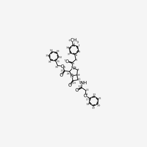 Cc1ccc(CC(=O)N2CC3[C@H](NC(=O)COc4ccccc4)C(=O)N3C2C(=O)OCc2ccccc2)cc1